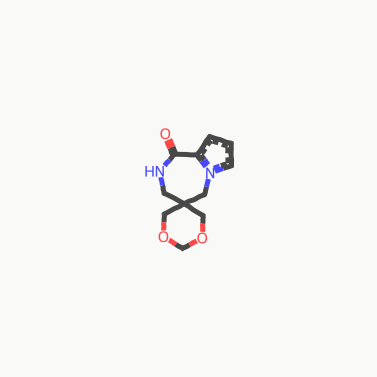 O=C1NCC2(COCOC2)Cn2cccc21